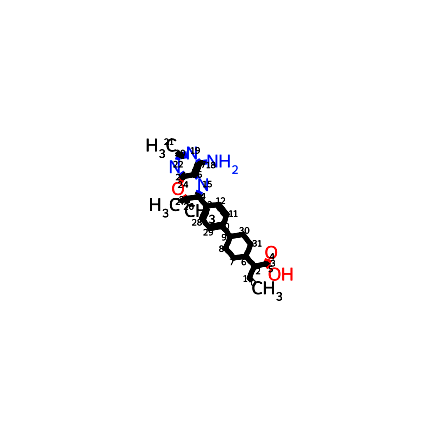 CCC(C(=O)O)C1CCC(c2ccc(C3=Nc4c(N)nc(C)nc4OC3(C)C)cc2)CC1